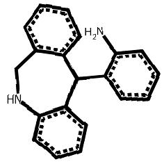 Nc1ccccc1C1c2ccccc2CNc2ccccc21